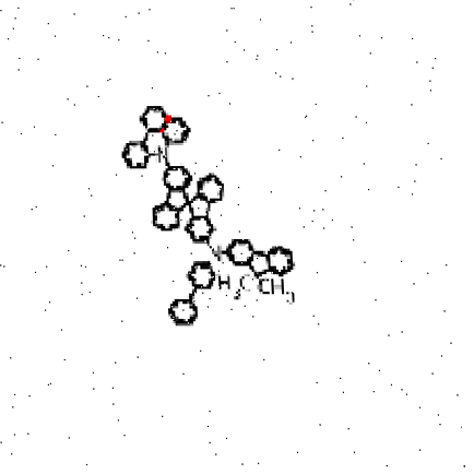 CC1(C)c2ccccc2-c2ccc(N(c3ccc(-c4ccccc4)cc3)c3ccc4c(c3)-c3ccccc3C43c4ccccc4-c4cc(N(c5ccccc5)c5ccccc5-c5ccccc5)ccc43)cc21